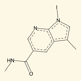 CNC(=O)c1cnc2c(c1)c(C)cn2I